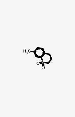 Cc1ccc2c(c1)S(=O)(=O)CCC2